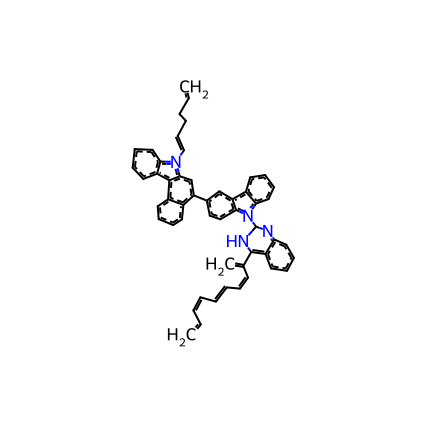 C=C\C=C/C=C/C=C\C(=C)C1=c2ccccc2=NC(n2c3ccccc3c3cc(-c4cc5c(c6ccccc46)c4ccccc4n5/C=C/CCC=C)ccc32)N1